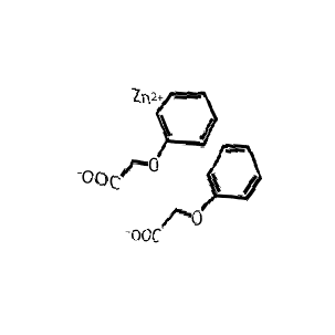 O=C([O-])COc1ccccc1.O=C([O-])COc1ccccc1.[Zn+2]